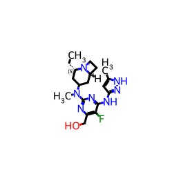 CC[C@H]1CC(N(C)c2nc(CO)c(F)c(Nc3cc(C)[nH]n3)n2)C[C@H]2CCN21